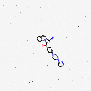 N#Cc1cc(C(=O)c2ccc(N3CCN(c4ccccn4)CC3)cc2)n2c1ccc1ccccc12